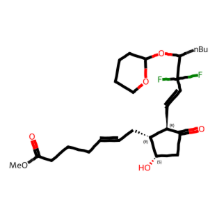 CCCCC(OC1CCCCO1)C(F)(F)C=C[C@H]1C(=O)C[C@H](O)[C@@H]1CC=CCCCC(=O)OC